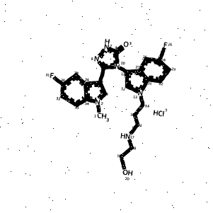 Cl.Cn1cc(-c2n[nH]c(=O)n2-c2cn(CCCNCCO)c3ccc(F)cc23)c2cc(F)ccc21